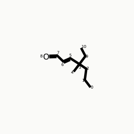 CCCC(C)(C=CC=O)CC